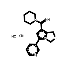 Cl.Cl.N=C(c1cc(-c2cccnc2)n2c1CSC2)N1CCCCC1